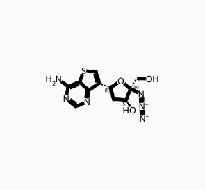 [N-]=[N+]=N[C@]1(CO)O[C@@H](c2csc3c(N)ncnc23)C[C@@H]1O